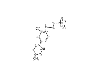 C[C@H]1CCC(c2ccc(OCCN(C)C)c(Cl)c2)NC1